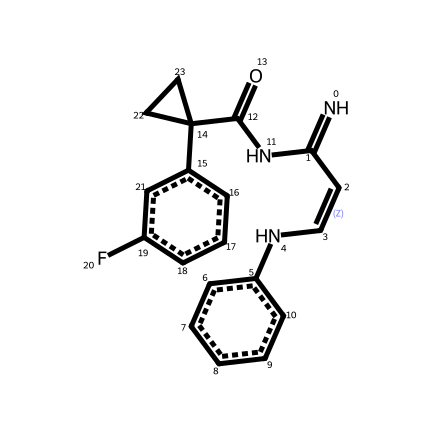 N=C(/C=C\Nc1ccccc1)NC(=O)C1(c2cccc(F)c2)CC1